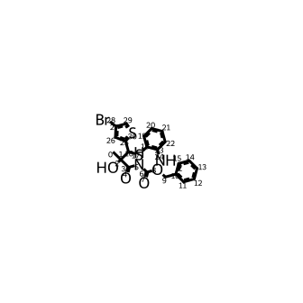 CC(O)(C(=O)NC(=O)OCc1ccccc1)C(Sc1ccccc1N)c1cc(Br)cs1